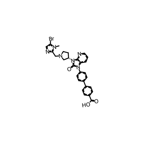 Cn1c(Br)cnc1CN1CC[C@H](n2c(=O)n(-c3ccc(-c4ccc(C(=O)O)cc4)cc3)c3cccnc32)C1